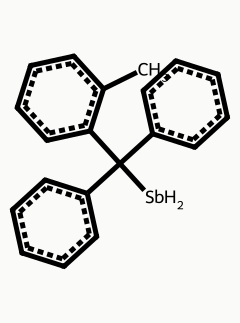 Cc1ccccc1[C]([SbH2])(c1ccccc1)c1ccccc1